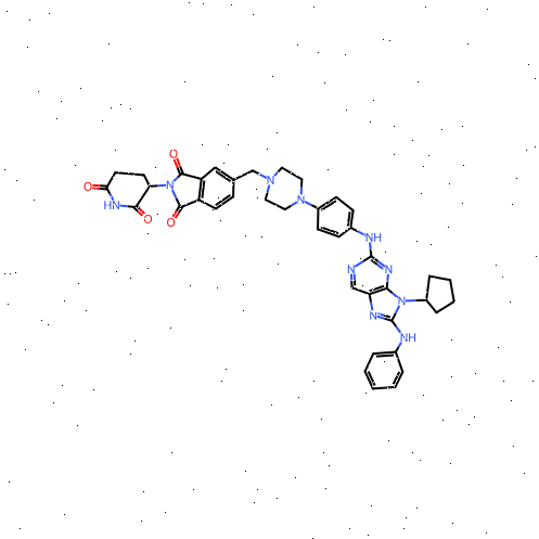 O=C1CCC(N2C(=O)c3ccc(CN4CCN(c5ccc(Nc6ncc7nc(Nc8ccccc8)n(C8CCCC8)c7n6)cc5)CC4)cc3C2=O)C(=O)N1